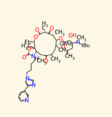 CC[C@H]1OC(=O)[C@H](C)C(=O)[C@H](C)[C@@H](O[C@@H]2O[C@H](C)C[C@H](N(C)C(C)(C)C)[C@H]2O)[C@](C)(OC)C[C@@H](C)C(=O)[C@H](C)[C@H]2N(CCCCn3cnc(-c4cccnc4)c3)C(=O)O[C@]12C